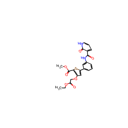 CCOC(=O)COc1cc(-c2cccc(NC(=O)c3ccc[nH]c3=O)c2)sc1C(=O)OC